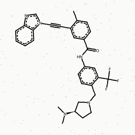 Cc1ccc(C(=O)Nc2ccc(CN3CC[C@@H](N(C)C)C3)c(C(F)(F)F)c2)cc1C#Cn1cnc2ccccc21